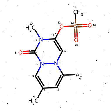 CC(=O)C1=CC(C)=CN2C(=O)N(C)C(OS(C)(=O)=O)=CN12